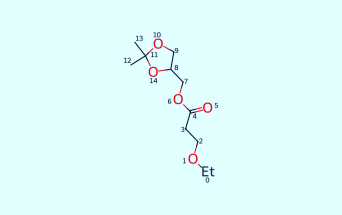 CCOCCC(=O)OCC1COC(C)(C)O1